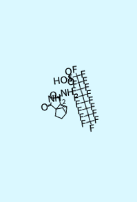 NC(=O)C1=CC2CCC1(C(N)=O)C2.O=S(=O)(O)C(F)(F)C(F)(F)C(F)(F)C(F)(F)C(F)(F)C(F)(F)C(F)(F)C(F)(F)F